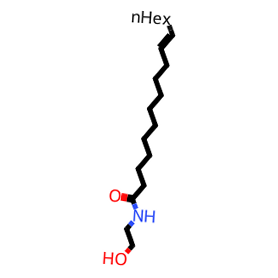 CCCCCC/C=C/CCCCCCCCCC(=O)NCCO